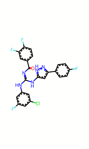 O=C(/N=C(/Nc1cc(F)cc(Cl)c1)Nc1cc(-c2ccc(F)cc2)n[nH]1)c1ccc(F)c(F)c1